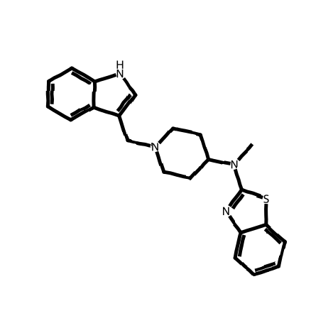 CN(c1nc2ccccc2s1)C1CCN(Cc2c[nH]c3ccccc23)CC1